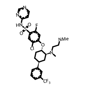 CNCCN(C)[C@H]1C[C@@H](c2cccc(C(F)(F)F)c2)CC[C@@H]1Oc1cc(F)c(S(=O)(=O)Nc2ccncn2)cc1Cl